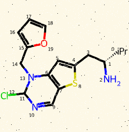 CC(C)[C@H](N)Cc1cc2c(s1)C=NC(Cl)N2Cc1ccco1